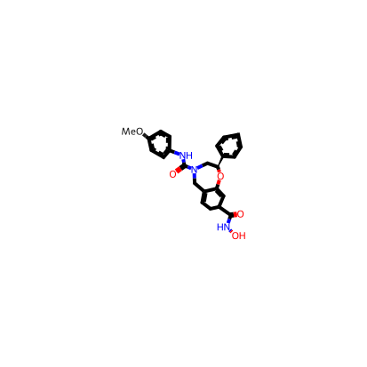 COc1ccc(NC(=O)N2CC3=CCC(C(=O)NO)C=C3O[C@H](c3ccccc3)C2)cc1